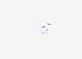 CCc1cc2c(NCCO)nc(Cl)nc2s1